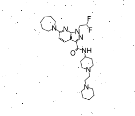 O=C(NC1CCN(CCN2CCCCC2)CC1)c1nn(CC(F)F)c2nc(N3CCCCCC3)ccc12